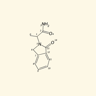 CC(C(N)=O)N1Cc2ccccc2C1=O